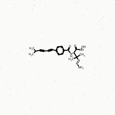 CC(C)C#CC#Cc1ccc(C(=O)N[C@H](C(=O)NO)C(C)(C)N=NN)cc1